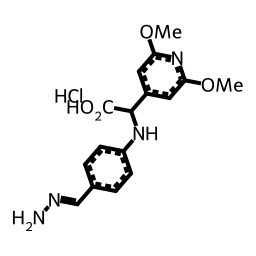 COc1cc(C(Nc2ccc(C=NN)cc2)C(=O)O)cc(OC)n1.Cl